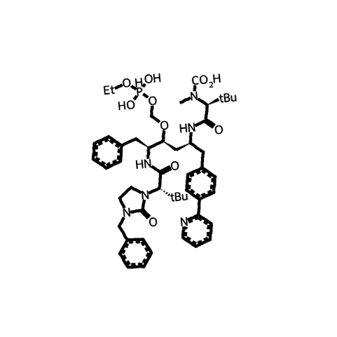 CCO[PH](O)(O)OCO[C@@H](C[C@H](Cc1ccc(-c2ccccn2)cc1)NC(=O)[C@@H](N(C)C(=O)O)C(C)(C)C)[C@H](Cc1ccccc1)NC(=O)[C@@H](N1CCN(Cc2ccccc2)C1=O)C(C)(C)C